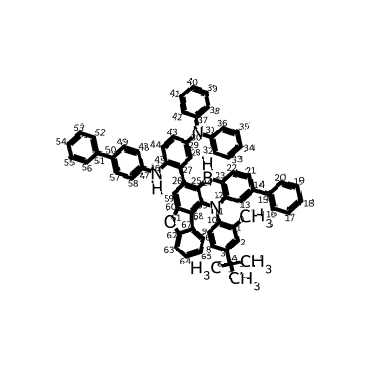 Cc1cc(C(C)(C)C)ccc1N1c2cc(-c3ccccc3)ccc2Bc2c(-c3cc(N(c4ccccc4)c4ccccc4)ccc3Nc3ccc(-c4ccccc4)cc3)cc3oc4ccccc4c3c21